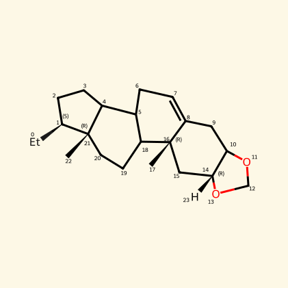 CC[C@H]1CCC2C3CC=C4CC5OCO[C@@H]5C[C@]4(C)C3CC[C@@]21C